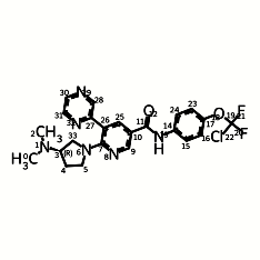 CN(C)[C@@H]1CCN(c2ncc(C(=O)Nc3ccc(OC(F)(F)Cl)cc3)cc2-c2cnccn2)C1